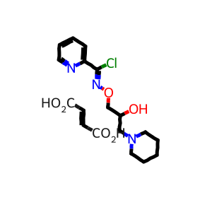 O=C(O)C=CC(=O)O.OC(CON=C(Cl)c1ccccn1)CN1CCCCC1